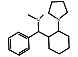 CN(C)C(c1ccccc1)C1CCCCC1N1CCCC1